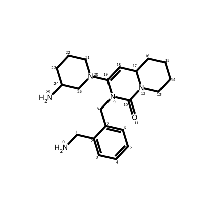 NCc1ccccc1CN1C(=O)N2CCCCC2C=C1N1CCCC(N)C1